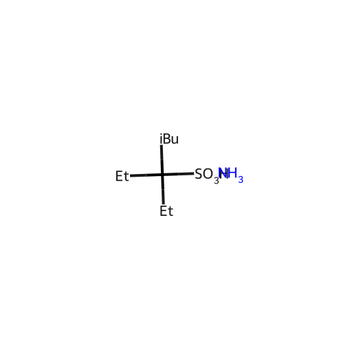 CCC(C)C(CC)(CC)S(=O)(=O)O.N